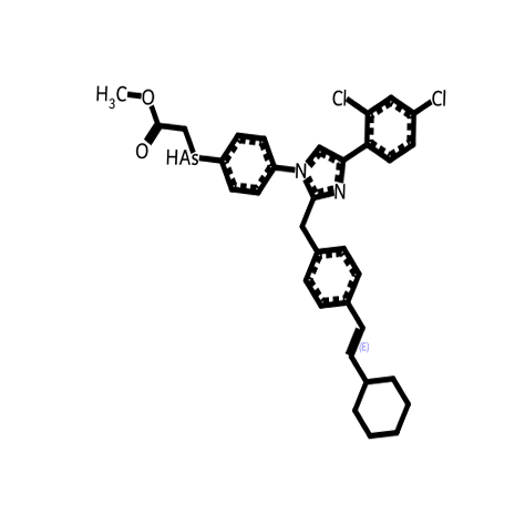 COC(=O)C[AsH]c1ccc(-n2cc(-c3ccc(Cl)cc3Cl)nc2Cc2ccc(/C=C/C3CCCCC3)cc2)cc1